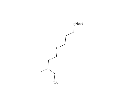 CCCCCCCCCCOCCC(C)CC(C)(C)C